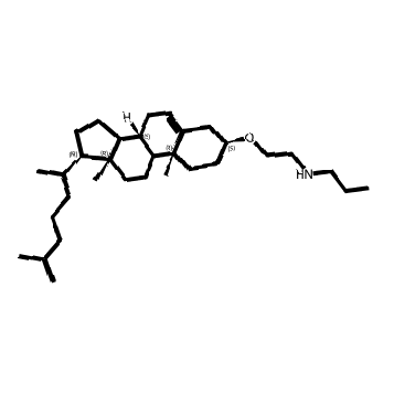 CCCNCCO[C@H]1CC[C@@]2(C)C(=CC[C@@H]3C2CC[C@@]2(C)C3CC[C@@H]2C(C)CCCC(C)C)C1